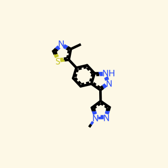 Cc1ncsc1-c1ccc2c(-c3cnn(C)c3)n[nH]c2c1